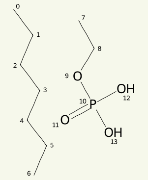 CCCCCCC.CCOP(=O)(O)O